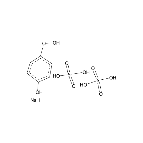 O=S(=O)(O)O.O=S(=O)(O)O.OOc1ccc(O)cc1.[NaH]